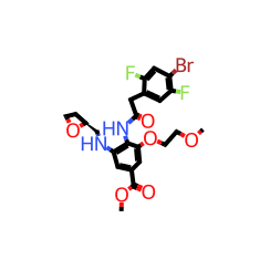 COCCOc1cc(C(=O)OC)cc(NC[C@@H]2CCO2)c1NC(=O)Cc1cc(F)c(Br)cc1F